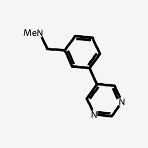 CNCc1cccc(-c2cncnc2)c1